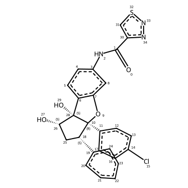 O=C(Nc1ccc2c(c1)O[C@@]1(c3ccc(Cl)cc3)[C@H](c3ccccc3)C[C@H](O)[C@@]21O)c1csnn1